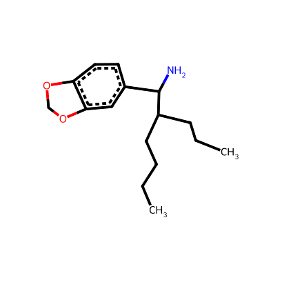 CCCCC(CCC)C(N)c1ccc2c(c1)OCO2